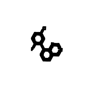 Fc1ccc(Cl)cc1-c1cccc2cncnc12